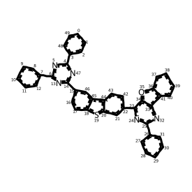 c1ccc(-c2nc(-c3ccccc3)nc(-c3ccc4sc5cc(-c6nc(-c7ccccc7)nc7c6oc6ccccc67)ccc5c4c3)n2)cc1